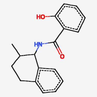 CC1CCc2ccccc2C1NC(=O)c1ccccc1O